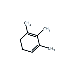 CC1=[C][C]CC(C)=C1C